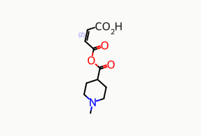 CN1CCC(C(=O)OC(=O)/C=C\C(=O)O)CC1